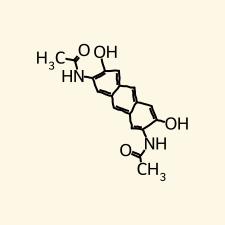 CC(=O)Nc1cc2cc3cc(NC(C)=O)c(O)cc3cc2cc1O